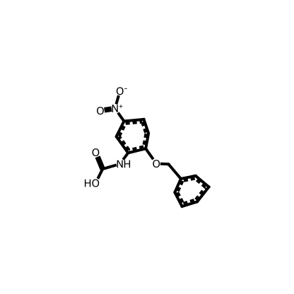 O=C(O)Nc1cc([N+](=O)[O-])ccc1OCc1ccccc1